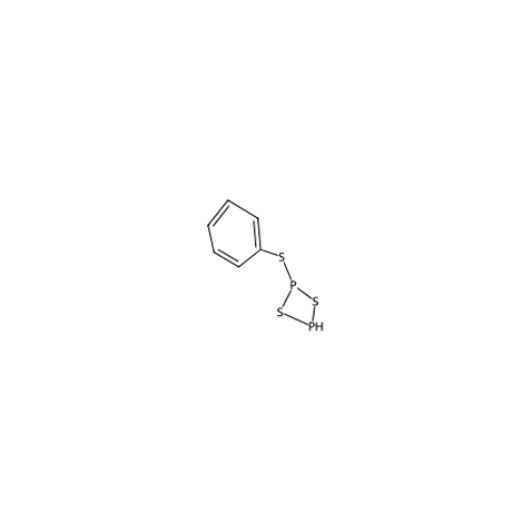 c1ccc(SP2SPS2)cc1